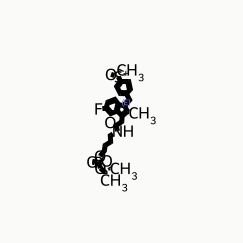 CCOP(=O)(OCC)OCCCCNC(=O)CC1=C(C)/C(=C/c2ccc([S+](C)[O-])cc2)c2ccc(F)cc21